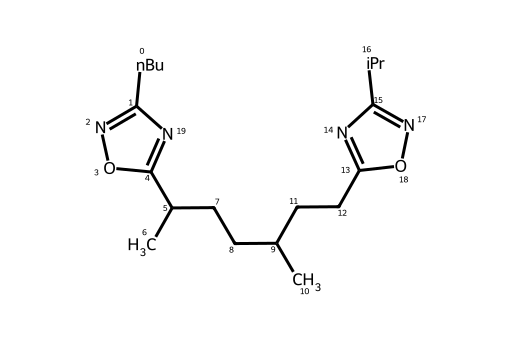 CCCCc1noc(C(C)CCC(C)CCc2nc(C(C)C)no2)n1